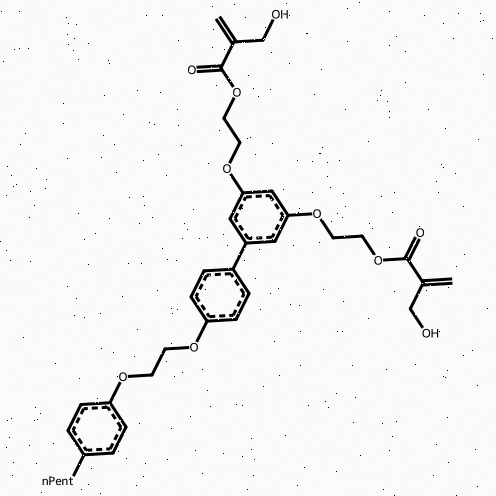 C=C(CO)C(=O)OCCOc1cc(OCCOC(=O)C(=C)CO)cc(-c2ccc(OCCOc3ccc(CCCCC)cc3)cc2)c1